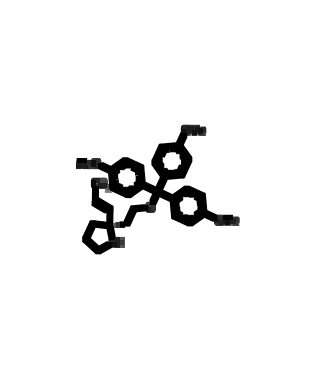 COc1ccc(C(OCC[C@@]2(/C=C/C(=O)O)CCCN2)(c2ccc(OC)cc2)c2ccc(OC)cc2)cc1